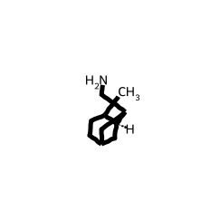 CC1(CN)C2CCC3CC1[C@H]2C3